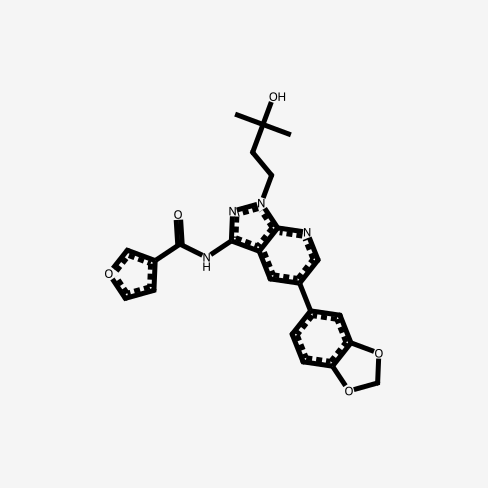 CC(C)(O)CCn1nc(NC(=O)c2ccoc2)c2cc(-c3ccc4c(c3)OCO4)cnc21